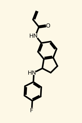 C=CC(=O)Nc1ccc2c(c1)C(Nc1ccc(F)cc1)CC2